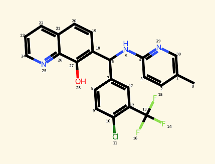 Cc1ccc(NC(c2ccc(Cl)c(C(F)(F)F)c2)c2ccc3cccnc3c2O)nc1